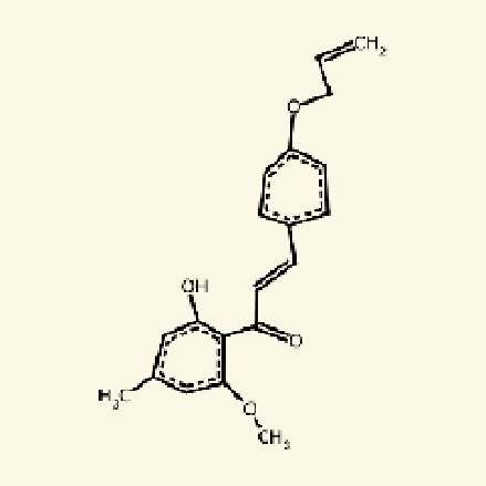 C=CCOc1ccc(/C=C/C(=O)c2c(O)cc(C)cc2OC)cc1